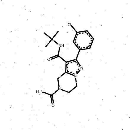 CC(C)(C)NC(=O)c1c(-c2cccc(Cl)c2)nn2c1CN(C(N)=O)CC2